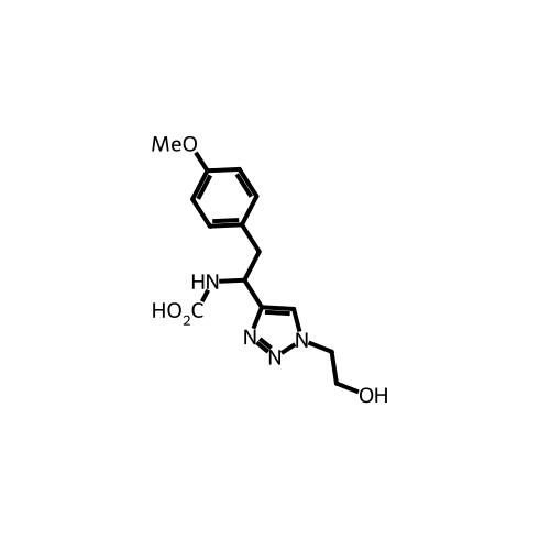 COc1ccc(CC(NC(=O)O)c2cn(CCO)nn2)cc1